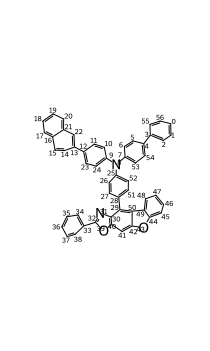 c1ccc(-c2ccc(N(c3ccc(-c4ccc5ccccc5c4)cc3)c3ccc(-c4c5nc(-c6ccccc6)oc5cc5oc6ccccc6c45)cc3)cc2)cc1